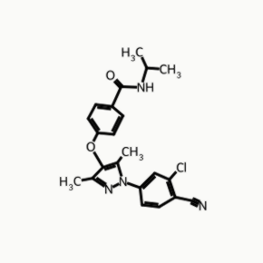 Cc1nn(-c2ccc(C#N)c(Cl)c2)c(C)c1Oc1ccc(C(=O)NC(C)C)cc1